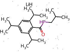 CC(C)CPC(=O)c1c(C(C)C)cc(C(C)C)cc1C(C)C.[LiH]